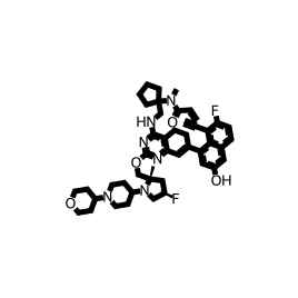 C#Cc1c(F)ccc2cc(O)cc(C3=Cc4nc(OC[C@]5(C)C[C@@H](F)CN5C5CCN(C6CCOCC6)CC5)nc(NCC5(N(C)C(=O)C=C)CCCC5)c4CC3)c12